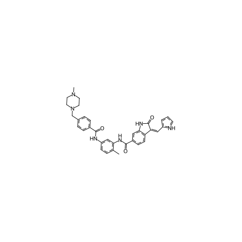 Cc1ccc(NC(=O)c2ccc(CN3CCN(C)CC3)cc2)cc1NC(=O)c1ccc2c(c1)NC(=O)C2=Cc1ccc[nH]1